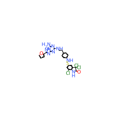 Nc1nc(NCCc2ccc(NSc3cc(Cl)c4c(c3)C(Cl)(Cl)C(=O)N4)cc2)nc2nc(-c3ccco3)nn12